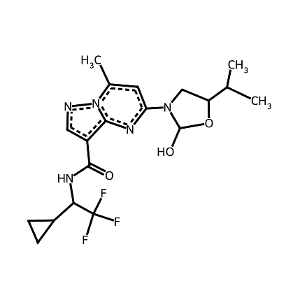 Cc1cc(N2CC(C(C)C)OC2O)nc2c(C(=O)NC(C3CC3)C(F)(F)F)cnn12